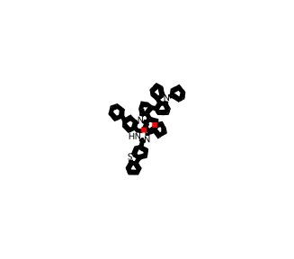 c1ccc(-c2ccc(C3NC(c4ccc5c(c4)sc4ccccc45)=NC(c4ccccc4)N3)c(-n3c4ccccc4c4c(-c5cccc6c5c5ccccc5n6-c5ccccc5)cccc43)c2)cc1